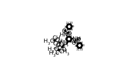 CC(C)(C)OC(=O)N[C@@H](Cc1cc(NS(=O)(=O)c2ccccc2)cc(NS(=O)(=O)c2ccccc2)c1)C(=O)OC(C)(C)C